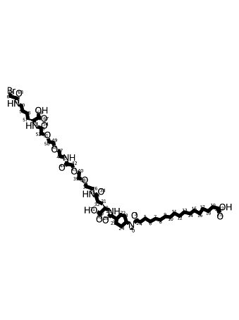 CN(C(=O)CCCCCCCCCCCCCCCCC(=O)O)C1CCC(C(=O)N[C@@H](CCC(=O)NCCOCCOCC(=O)NCCOCCOCC(=O)N[C@@H](CCCCNC(=O)CBr)C(=O)O)C(=O)O)CC1